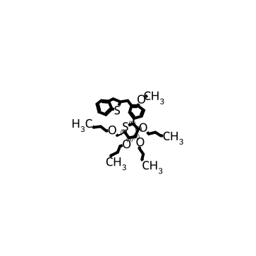 CCCCOC[C@H]1S[C@@H](c2ccc(OC)c(CC3Cc4ccccc4S3)c2)[C@H](OCCCC)[C@@H](OCCCC)[C@@H]1OCCCC